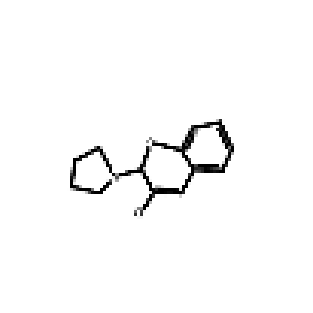 ClC1=Cc2ccccc2OC1N1CCCC1